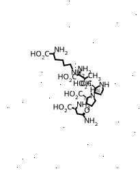 CC(O)C(N)C(=O)O.NC(=O)CC(N)C(=O)O.NCCCCC(N)C(=O)O.O=C(O)[C@@H]1CCCN1.O=C(O)[C@@H]1CCCN1